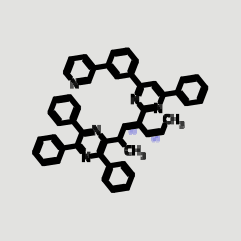 C/C=C\C(=C/C(C)c1nc(-c2ccccc2)c(-c2ccccc2)nc1-c1ccccc1)c1nc(-c2ccccc2)cc(-c2cccc(-c3cccnc3)c2)n1